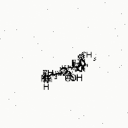 COc1ccc2nccc(C(F)CC[C@@H]3CCN(CCCCc4c[nH]nc4C)C[C@@H]3CC(=O)O)c2c1